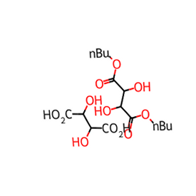 CCCCOC(=O)C(O)C(O)C(=O)OCCCC.O=C(O)C(O)C(O)C(=O)O